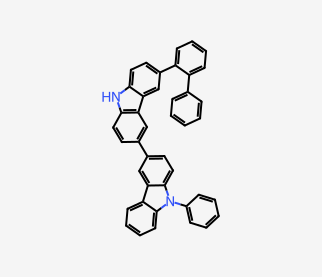 c1ccc(-c2ccccc2-c2ccc3[nH]c4ccc(-c5ccc6c(c5)c5ccccc5n6-c5ccccc5)cc4c3c2)cc1